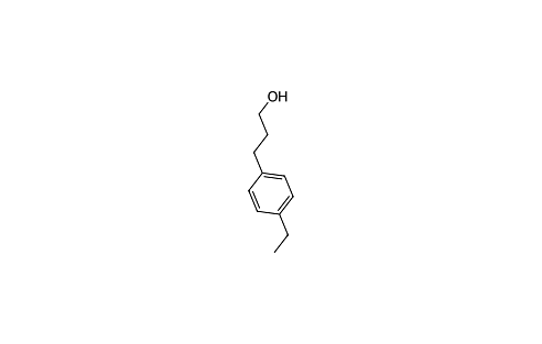 CCc1ccc(CCCO)cc1